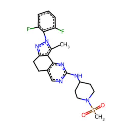 Cc1c2c(nn1-c1c(F)cccc1F)CCc1cnc(NC3CCN(S(C)(=O)=O)CC3)nc1-2